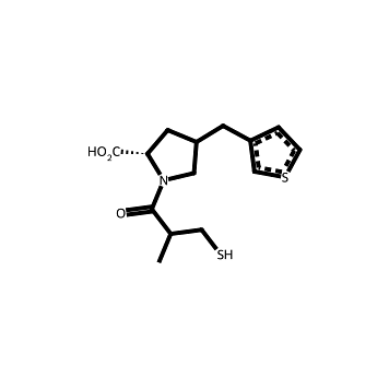 CC(CS)C(=O)N1CC(Cc2ccsc2)C[C@H]1C(=O)O